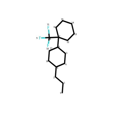 CCCC1CCC(C2(C(F)(F)F)CCCCC2)CC1